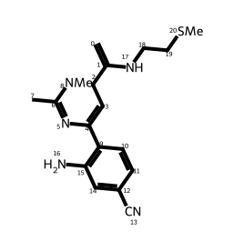 C=C(C/C=C(\N=C(\C)NC)c1ccc(C#N)cc1N)NCCSC